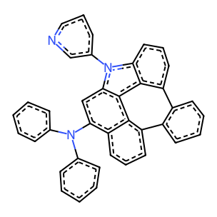 c1ccc(N(c2ccccc2)c2cc3c4c5c(cccc25)-c2ccccc2-c2cccc(c24)n3-c2cccnc2)cc1